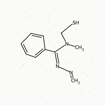 C=N/N=C(/c1ccccc1)N(C)CS